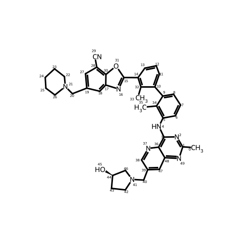 Cc1nc(Nc2cccc(-c3cccc(-c4nc5cc(CN6CCCCC6)cc(C#N)c5o4)c3C)c2C)c2ncc(CN3CC[C@@H](O)C3)cc2n1